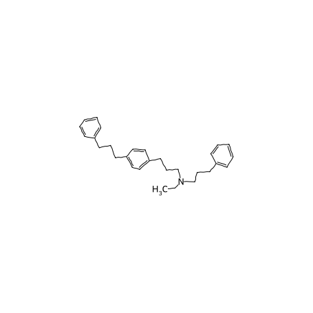 CCN(CCCc1ccccc1)CCCc1ccc(CCCc2ccccc2)cc1